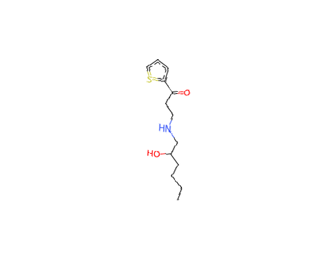 CCCCC(O)CNCCC(=O)c1cccs1